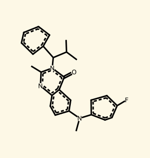 Cc1nc2ccc(N(C)c3ccc(F)cc3)cc2c(=O)n1C(c1ccccc1)C(C)C